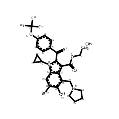 CCOC(=O)c1c(C(=S)c2ccc(OC(F)(F)F)cc2)n(C2CC2)c2cc(Br)c(O)c(CN3CCCC3)c12.Cl